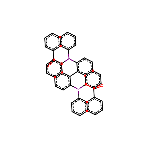 O=C(Oc1cccc(P(c2ccccc2)c2ccccc2)c1-c1c(OC(=O)c2ccccc2)cccc1P(c1ccccc1)c1ccccc1)c1ccccc1